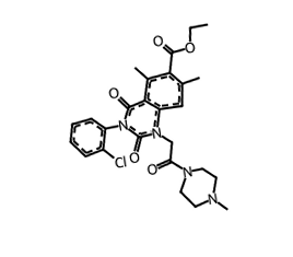 CCOC(=O)c1c(C)cc2c(c1C)c(=O)n(-c1ccccc1Cl)c(=O)n2CC(=O)N1CCN(C)CC1